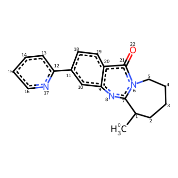 CC1CCCCn2c1nc1cc(-c3ccccn3)ccc1c2=O